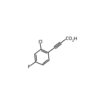 O=C(O)C#Cc1ccc(F)cc1Cl